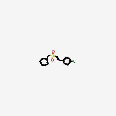 O=S(=O)(C=Cc1ccc(Cl)cc1)Cc1ccccc1